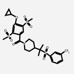 CC(C)(C1CCN(C(=O)c2cc(S(C)(=O)=O)c(OC3CC3)cc2S(C)(=O)=O)CC1)S(=O)(=O)c1cccc(C(F)(F)F)c1